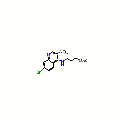 CC(=O)OCCCNc1c([N+](=O)[O-])cnc2cc(Br)ccc12